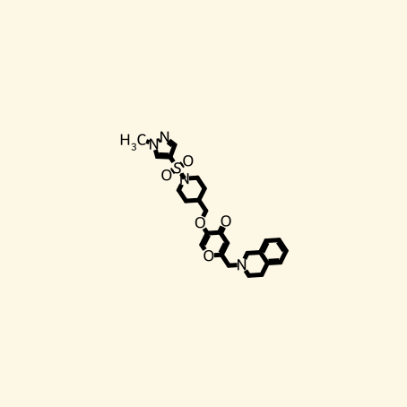 Cn1cc(S(=O)(=O)N2CCC(COc3coc(CN4CCc5ccccc5C4)cc3=O)CC2)cn1